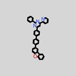 c1ccc(-c2nc(-c3ccc(-c4ccc(-c5ccc6oc7ccccc7c6c5)cc4)cc3)cc(-c3ccccn3)n2)cc1